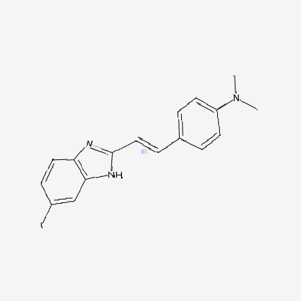 CN(C)c1ccc(/C=C/c2nc3ccc(I)cc3[nH]2)cc1